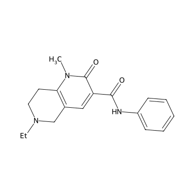 CCN1CCc2c(cc(C(=O)Nc3ccccc3)c(=O)n2C)C1